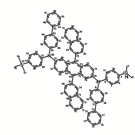 C[SiH](C)c1ccc(N(c2ccc(-c3ccccc3)cc2)c2ccc3c(-c4ccc5ccccc5c4)c4cc(N(c5ccc(-c6ccccc6)cc5)c5ccc(S(C)(C)C)cc5)ccc4c(-c4ccc5ccccc5c4)c3c2)cc1